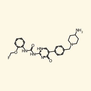 NC1CCN(Cc2ccc(-c3c[nH]c(NC(=O)Nc4ccccc4OCF)nc3=O)cc2)CC1